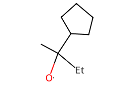 CCC(C)([O])C1CCCC1